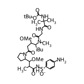 CCC(C)C(C(CC(=O)N1CCCC1C(OC)C(C)C(=O)N[S+]([O-])c1ccc(N)cc1)OC)N(C)C(=O)CNC(=O)C(C)(C)NC(=O)OC(C)(C)C